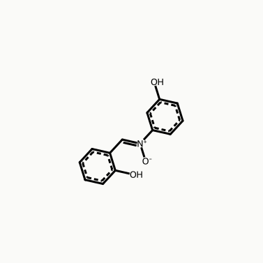 [O-][N+](=Cc1ccccc1O)c1cccc(O)c1